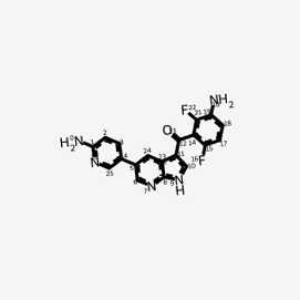 Nc1ccc(-c2cnc3[nH]cc(C(=O)c4c(F)ccc(N)c4F)c3c2)cn1